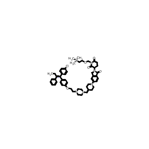 CC/C(=C(\c1ccc(Cl)cc1)c1ccc(OCCN2CCN(CC3CCN(c4ccc5c(c4)CN(C4CCC(=O)N(COCC[Si](C)(C)C)C4=O)C5=O)CC3)CC2)cc1)c1ccccc1